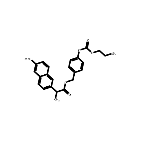 COc1ccc2cc(C(C)C(=O)OCc3ccc(OC(=O)OCCC(C)(C)C)cc3)ccc2c1